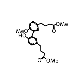 COC(=O)CCCc1ccc(O)c(-c2cc(CCCC(=O)OC)ccc2OC)c1